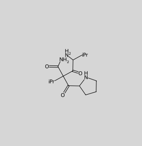 CC(C)C(N)C(=O)C(C(N)=O)(C(=O)C1CCCN1)C(C)C